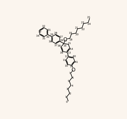 CCCCCCCCOc1ccc(C2=CCC(OCCCCCCCC)(c3ccc(-c4ccccc4)cc3)C=C2)cc1